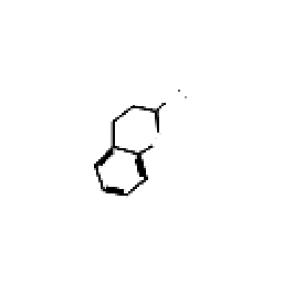 N#CC1CCc2ccccc2S1